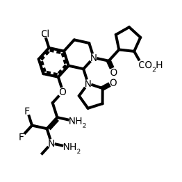 CN(N)/C(=C(\N)COc1ccc(Cl)c2c1C(N1CCCC1=O)N(C(=O)C1CCCC1C(=O)O)CC2)C(F)F